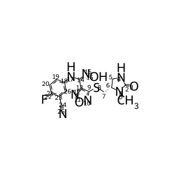 CN1C(=O)NC[C@H]1CSc1nonc1/C(=N\O)Nc1ccc(F)c(C#N)c1